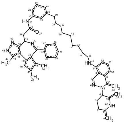 C=C1CCC(N2N=Cc3c(NCCCCCCCCCc4cccc(NC(=O)CC5N=C(c6ccccc6)c6c(sc(C)c6C)-n6c(C)nnc65)c4)cccc3C2=C)C(=C)N1